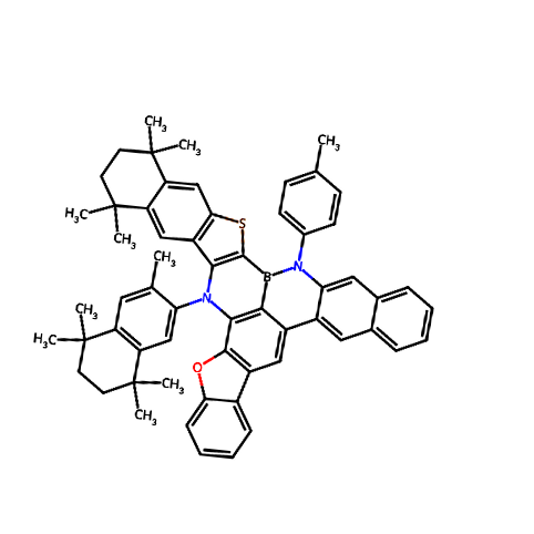 Cc1ccc(N2B3c4sc5cc6c(cc5c4N(c4cc5c(cc4C)C(C)(C)CCC5(C)C)c4c3c(cc3c4oc4ccccc43)-c3cc4ccccc4cc32)C(C)(C)CCC6(C)C)cc1